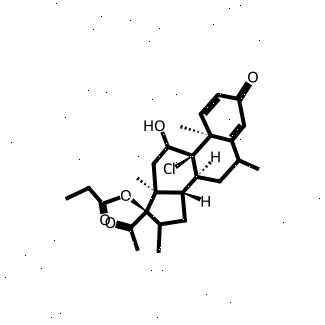 CCC(=O)O[C@]1(C(C)=O)C(C)C[C@H]2[C@@H]3CC(C)C4=CC(=O)C=C[C@]4(C)[C@@]3(Cl)C(O)C[C@@]21C